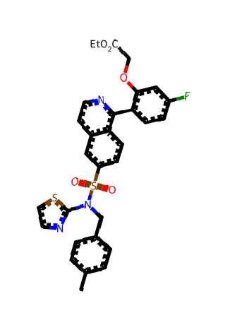 CCOC(=O)COc1cc(F)ccc1-c1nccc2cc(S(=O)(=O)N(Cc3ccc(C)cc3)c3nccs3)ccc12